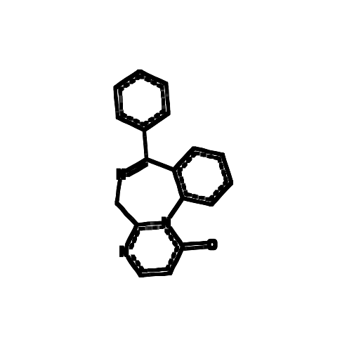 O=c1ccnc2n1-c1ccccc1C(c1ccccc1)=NC2